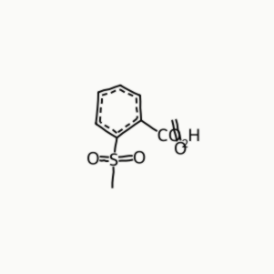 C=O.CS(=O)(=O)c1ccccc1C(=O)O